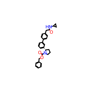 O=C(Cc1ccc(-c2cccc([C@@H]3CCCN3C(=O)OCc3ccccc3)c2)cc1)NC1CC1